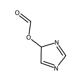 O=COC1C=NC=N1